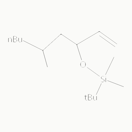 C=CC(CC(C)CCCC)O[Si](C)(C)C(C)(C)C